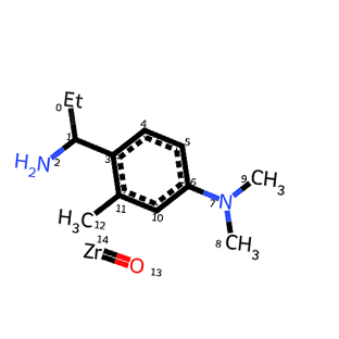 CCC(N)c1ccc(N(C)C)cc1C.[O]=[Zr]